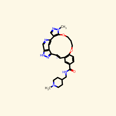 CN1CCC(CNC(=O)c2ccc3c(c2)/C=C/c2n[nH]c4cnc(cc24)-c2cnn(C)c2OCCCO3)CC1